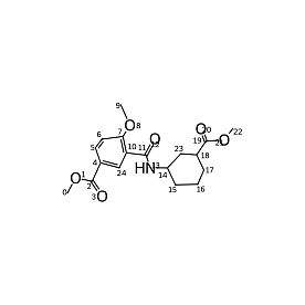 COC(=O)c1ccc(OC)c(C(=O)NC2CCCC(C(=O)OC)C2)c1